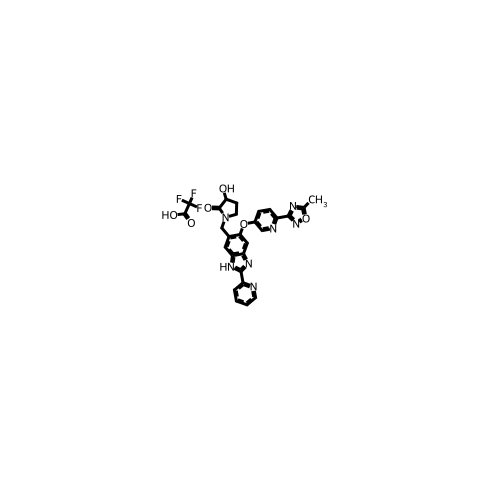 Cc1nc(-c2ccc(Oc3cc4nc(-c5ccccn5)[nH]c4cc3CN3CCC(O)C3=O)cn2)no1.O=C(O)C(F)(F)F